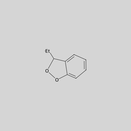 C[CH]C1OOc2ccccc21